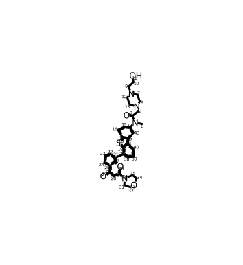 CN(C(=O)CN1CCN(CCO)CC1)c1ccc2sc3c(-c4cccc5c(=O)cc(N6CCOCC6)oc45)cccc3c2c1